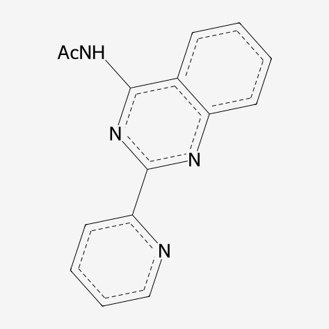 CC(=O)Nc1nc(-c2ccccn2)nc2ccccc12